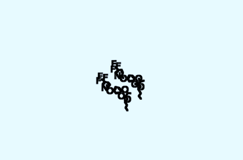 CCCCOC(=O)C(C)Oc1ccc(Oc2ccc(C(F)(F)F)cn2)cc1.CCCCOC(=O)C(C)Oc1ccc(Oc2ccc(C(F)(F)F)cn2)cc1